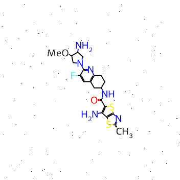 COC1CN(c2nc3c(cc2F)CC(NC(=O)c2sc4nc(C)sc4c2N)CC3)CC1N